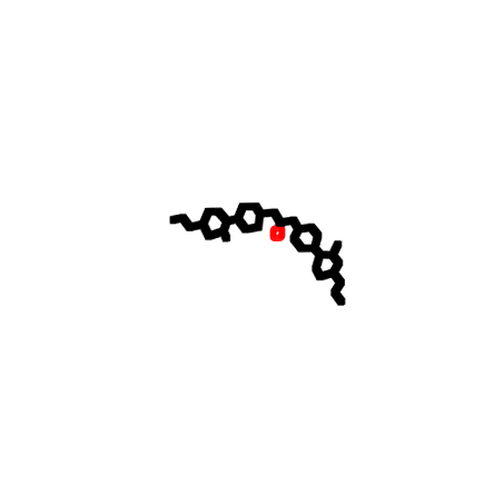 CCCC1CCC(C2CCC(CC(=O)CC3CCC(C4CCC(CCC)CC4C)CC3)CC2)C(C)C1